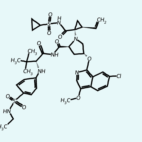 C=C[C@@H]1C[C@@]1(C(=O)NS(=O)(=O)C1CC1)N1C[C@H](Oc2ncc(OC)c3ccc(Cl)cc23)C[C@H]1C(=O)NC(=O)[C@H](Nc1ccc(S(=O)(=O)NCC)cc1)C(C)(C)C